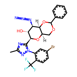 Cc1nc([C@@H]2O[C@@H]3COC(c4ccccc4)O[C@@H]3[C@H](N=[N+]=[N-])[C@H]2O)n(-c2cc(Br)ccc2C(F)(F)F)n1